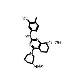 CN[C@@H]1CCCN(c2nc(Nc3ccc(C)c(C#N)c3)nc3c2CCCC3)C1.Cl.Cl